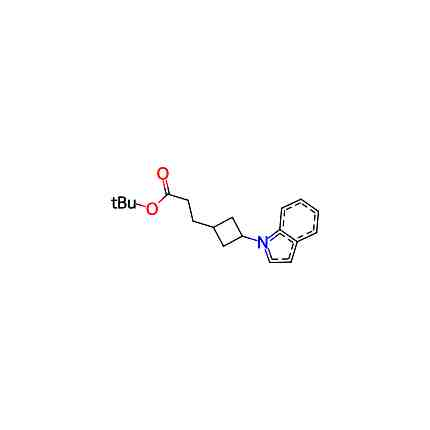 CC(C)(C)OC(=O)CCC1CC(n2ccc3ccccc32)C1